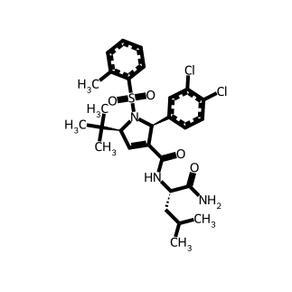 Cc1ccccc1S(=O)(=O)N1[C@@H](c2ccc(Cl)c(Cl)c2)C(C(=O)N[C@@H](CC(C)C)C(N)=O)=C[C@H]1C(C)(C)C